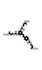 CC(=O)O[C@H](C)CCOC(=O)Oc1ccc(/C=C/c2cc(OC(=O)OCC[C@@H](C)OC(C)=O)cc(OC(=O)OCC[C@@H](C)OC(C)=O)c2)cc1